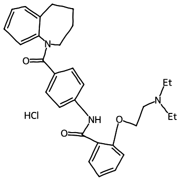 CCN(CC)CCOc1ccccc1C(=O)Nc1ccc(C(=O)N2CCCCc3ccccc32)cc1.Cl